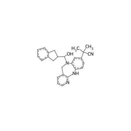 CC(C)(C#N)c1ccc2c(c1)N(C(O)C1Cc3ccccc3C1)Cc1cccnc1N2